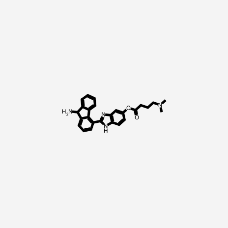 CN(C)CCCC(=O)Oc1ccc2[nH]c(-c3cccc4c3-c3ccccc3C4N)nc2c1